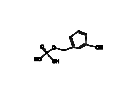 O=P(O)(O)OCc1cccc(O)c1